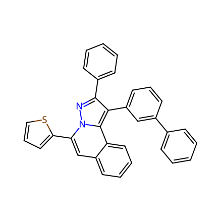 c1ccc(-c2cccc(-c3c(-c4ccccc4)nn4c(-c5cccs5)cc5ccccc5c34)c2)cc1